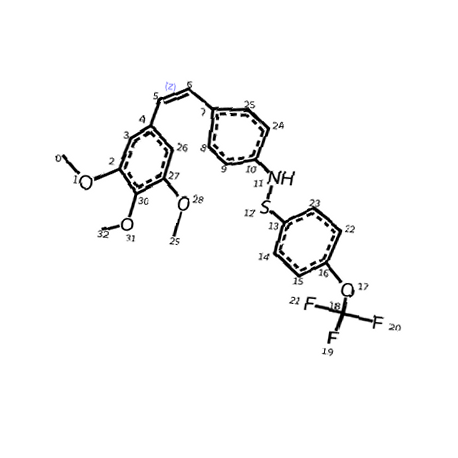 COc1cc(/C=C\c2ccc(NSc3ccc(OC(F)(F)F)cc3)cc2)cc(OC)c1OC